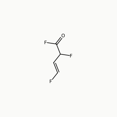 O=C(F)C(F)C=CF